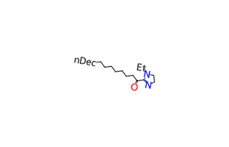 CCCCCCCCCCCCCCCCCC(=O)C1=NCCN1CC